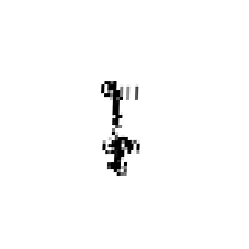 CC(=O)CCN1C(=O)CC(SCCCCCCNC(C)=O)C1=O